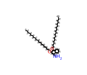 CCCCCCCCCCCCCCCCCCOc1cc(N)c2ccccc2c1OCCCCCCCCCCCCCCCCCC